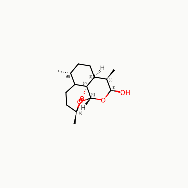 C[C@H]1[C@@H](O)O[C@@H]2O[C@@]3(C)CCC4[C@H](C)CC[C@@H]1[C@]42OO3